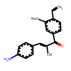 C=Cc1ccc(C(=O)C(C#N)=Cc2ccc(N)cc2)cc1OC